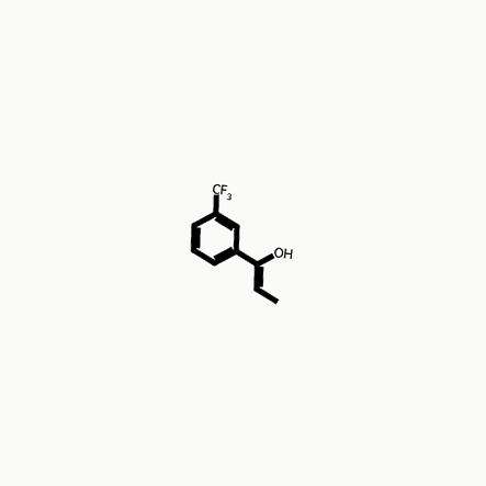 C/C=C(\O)c1cccc(C(F)(F)F)c1